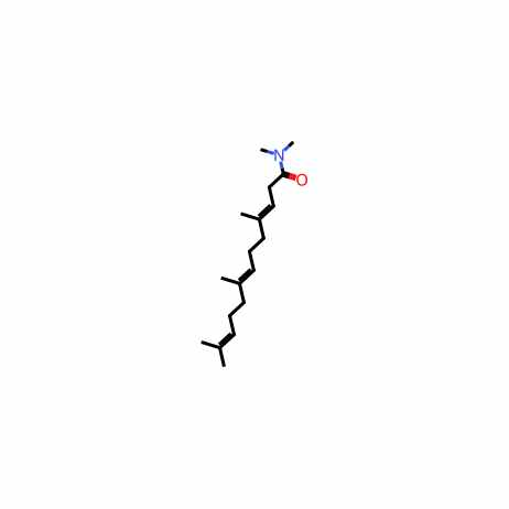 CC(C)=CCC/C(C)=C/CC/C(C)=C/CC(=O)N(C)C